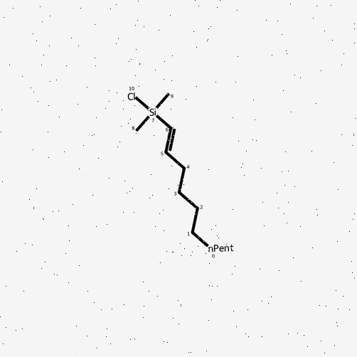 CCCCCCCCCC=C[Si](C)(C)Cl